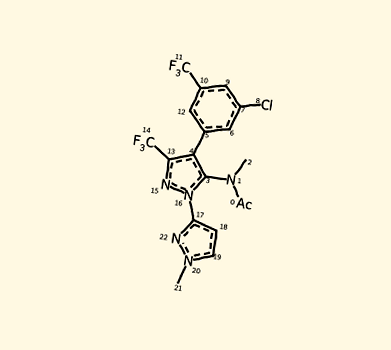 CC(=O)N(C)c1c(-c2cc(Cl)cc(C(F)(F)F)c2)c(C(F)(F)F)nn1-c1ccn(C)n1